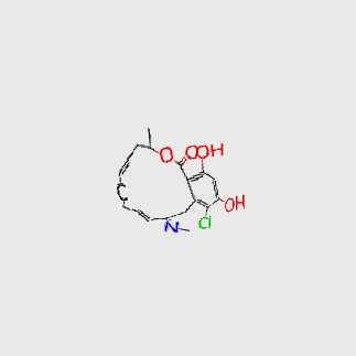 C/N=C1/C=C/CC/C=C/C[C@@H](C)OC(=O)c2c(O)cc(O)c(Cl)c2C1